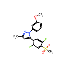 CS(=O)(=O)c1cc(F)c(-c2cc(C(F)(F)F)nn2-c2cccc(OC(F)(F)F)c2)cc1F